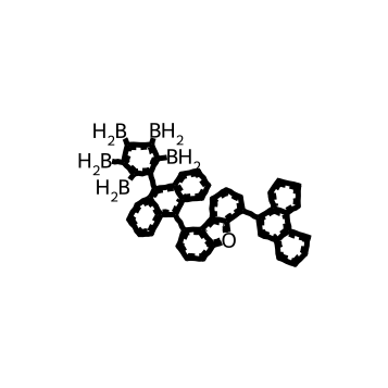 Bc1c(B)c(B)c(-c2c3ccccc3c(-c3cccc4oc5c(-c6cc7ccccc7c7ccccc67)cccc5c34)c3ccccc23)c(B)c1B